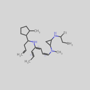 BCC(CC)NC1CC1N(C)\C=C/C=C(\C=C\C)NC(CC=C)C1CCCC1C